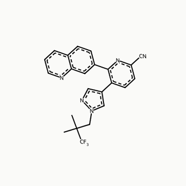 CC(C)(Cn1cc(-c2ccc(C#N)nc2-c2ccc3cccnc3c2)cn1)C(F)(F)F